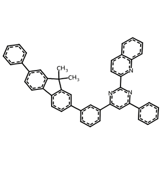 CC1(C)c2cc(-c3ccccc3)ccc2-c2ccc(-c3cccc(-c4cc(-c5ccccc5)nc(-c5ccc6ccccc6n5)n4)c3)cc21